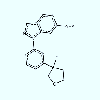 CC(=O)Nc1cc2c(cn1)cnn2-c1cccc(C2(F)CCOC2)n1